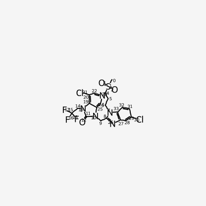 CS(=O)(=O)CCCn1c(Cn2c(=O)n(CC(F)(F)F)c3c(Cl)cncc32)nc2cc(Cl)ccc21